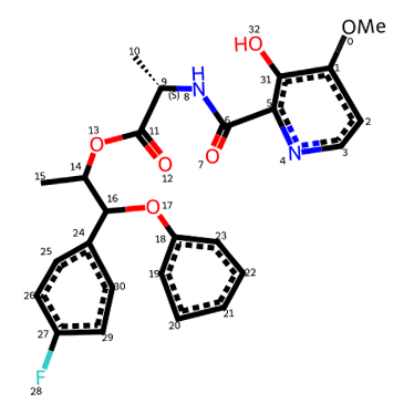 COc1ccnc(C(=O)N[C@@H](C)C(=O)OC(C)C(Oc2ccccc2)c2ccc(F)cc2)c1O